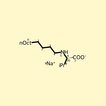 CCCCCCCCCCCCN[C@H](C(=O)[O-])C(C)C.[Na+]